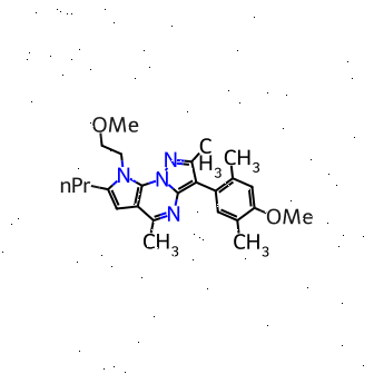 CCCc1cc2c(C)nc3c(-c4cc(C)c(OC)cc4C)c(C)nn3c2n1CCOC